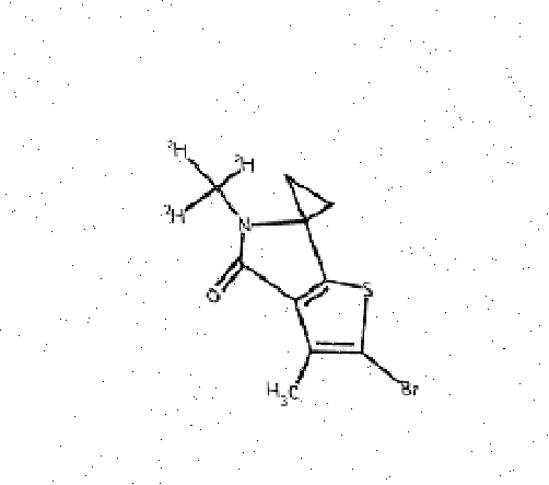 [2H]C([2H])([2H])N1C(=O)c2c(sc(Br)c2C)C12CC2